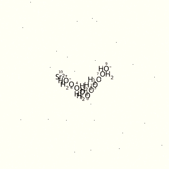 O.O.O.O.O.O.O.O.[OH-].[OH-].[Sr+2]